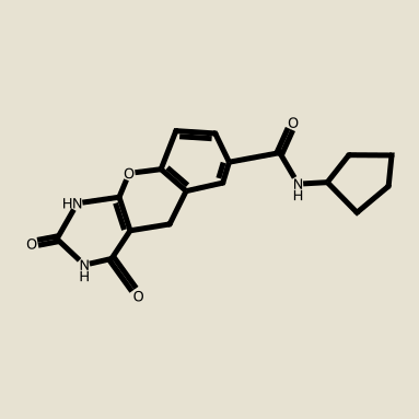 O=C(NC1CCCC1)c1ccc2c(c1)Cc1c([nH]c(=O)[nH]c1=O)O2